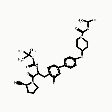 CC(C)OC(=O)N1CCC(Oc2ccc(-c3ccc(CC(NC(=O)OC(C)(C)C)C(=O)N4CCCC4C#N)c(F)c3)cc2)CC1